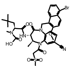 COc1ccc2c(Br)cccc2c1CN1C(=O)[C@@H](NC(=O)[C@H](CC(C)(C)C)N(C)C(=O)O)[C@H](C)N(C(=O)CS(C)(=O)=O)c2cc(C#N)ccc21